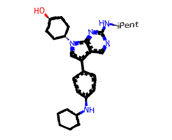 CCC[C@H](C)Nc1ncc2c(-c3ccc(NC4CCCCC4)cc3)cn([C@H]3CC[C@H](O)CC3)c2n1